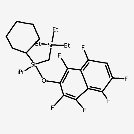 CC[Si](CC)(CC)C[Si](Oc1c(F)c(F)c2c(F)c(F)[c]c(F)c2c1F)(C(C)C)C1CCCCC1